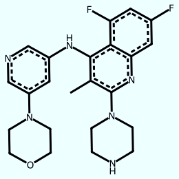 Cc1c(N2CCNCC2)nc2cc(F)cc(F)c2c1Nc1cncc(N2CCOCC2)c1